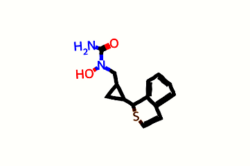 NC(=O)N(O)CC1CC1C1SC=Cc2ccccc21